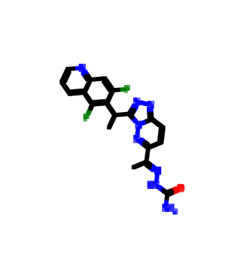 C/C(=N\NC(N)=O)c1ccc2nnc(C(C)c3c(F)cc4ncccc4c3F)n2n1